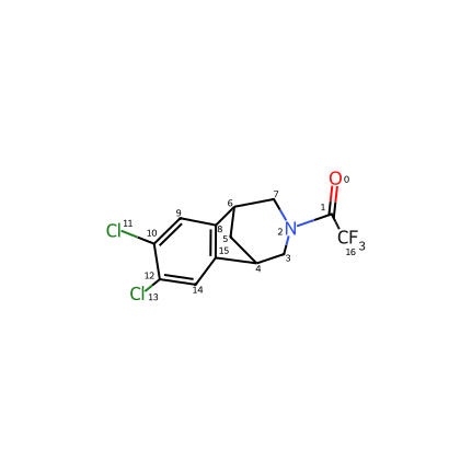 O=C(N1CC2CC(C1)c1cc(Cl)c(Cl)cc12)C(F)(F)F